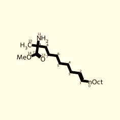 CCCCCCCCC=CCCCCCCC(C)(N)C(=O)OC